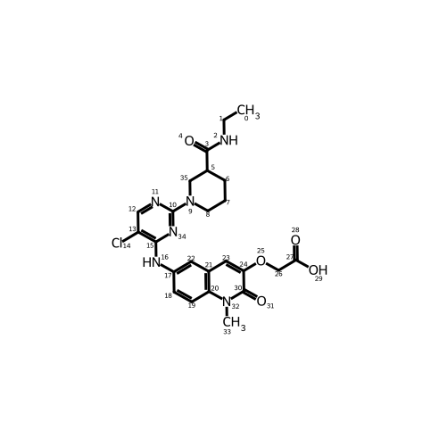 CCNC(=O)C1CCCN(c2ncc(Cl)c(Nc3ccc4c(c3)cc(OCC(=O)O)c(=O)n4C)n2)C1